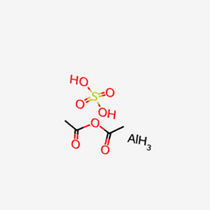 CC(=O)OC(C)=O.O=S(=O)(O)O.[AlH3]